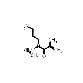 C=C(C)C(=O)N(C)CCCN.CCl